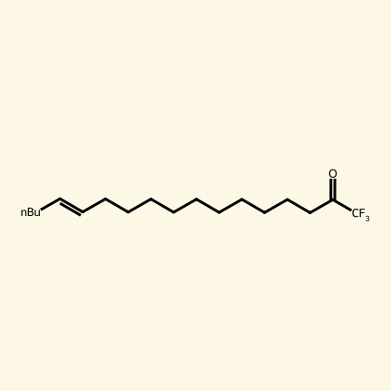 CCCCC=CCCCCCCCCCCC(=O)C(F)(F)F